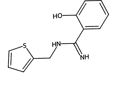 N=C(NCc1cccs1)c1ccccc1O